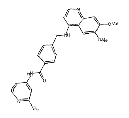 COc1cc2ncnc(NCc3ccc(C(=O)Nc4ccnc(N)c4)cc3)c2cc1OC